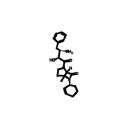 CC12SCN(C(=O)[C@@H](O)[C@@H](N)Cc3ccccc3)[C@@H]1C(=O)N2[C@@H]1C=CCCC1